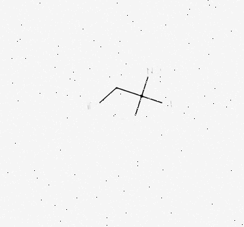 CC(C)CC(N=O)(C(F)(F)F)C(F)(F)F